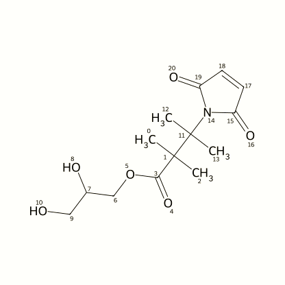 CC(C)(C(=O)OCC(O)CO)C(C)(C)N1C(=O)C=CC1=O